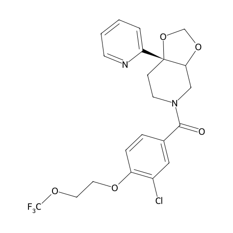 O=C(c1ccc(OCCOC(F)(F)F)c(Cl)c1)N1CC[C@]2(c3ccccn3)OCOC2C1